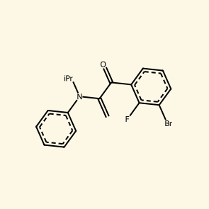 C=C(C(=O)c1cccc(Br)c1F)N(c1ccccc1)C(C)C